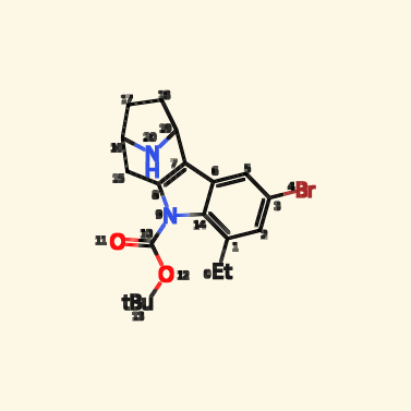 CCc1cc(Br)cc2c3c(n(C(=O)OC(C)(C)C)c12)CC1CCC3N1